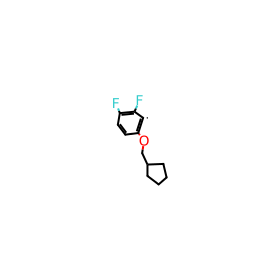 Fc1[c]c(OCC2CCCC2)ccc1F